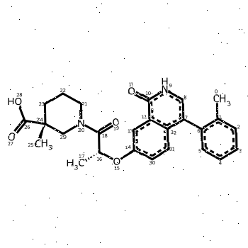 Cc1ccccc1-c1c[nH]c(=O)c2cc(O[C@H](C)C(=O)N3CCC[C@@](C)(C(=O)O)C3)ccc12